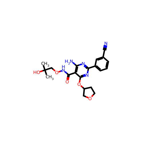 CC(C)(O)CONC(=O)c1c(N)nc(-c2cccc(C#N)c2)nc1OC1CCOC1